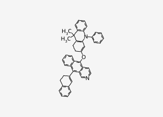 CC1(C)C2=C(C=C(Oc3c4ccccc4c(C4=Cc5ccccc5CC4)c4cnccc34)CC2)N(c2ccccc2)c2ccccc21